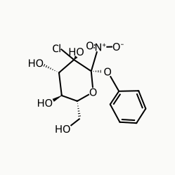 O=[N+]([O-])[C@@]1(Oc2ccccc2)O[C@H](CO)[C@@H](O)[C@H](O)[C@]1(O)Cl